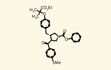 CCOC(=O)C(C)(C)Oc1ccc(C[C@H]2CN(C(=O)Oc3ccccc3)CC2C(=O)c2ccc(SC)cc2)cc1